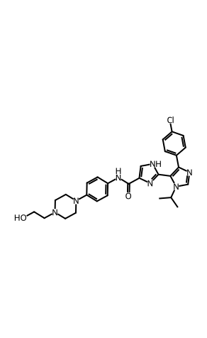 CC(C)n1cnc(-c2ccc(Cl)cc2)c1-c1nc(C(=O)Nc2ccc(N3CCN(CCO)CC3)cc2)c[nH]1